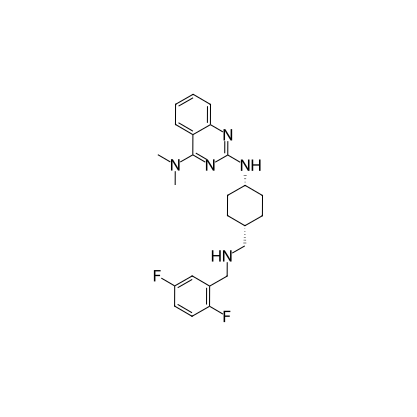 CN(C)c1nc(N[C@H]2CC[C@@H](CNCc3cc(F)ccc3F)CC2)nc2ccccc12